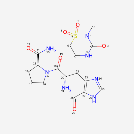 CN1C(=O)NCCS1(=O)=O.NC(=O)[C@@H]1CCCN1C(=O)[C@@H](N)Cc1nc[nH]c1C=O